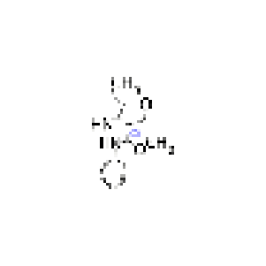 CCCC(=N)/C(C=O)=C(\Nc1ccccc1)OC